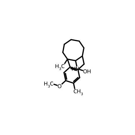 COc1cc2c(cc1C)CC1CCCCCC2(C)C1NO